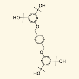 CC(C)(O)c1cc(OCc2ccc(COc3cc(C(C)(C)O)cc(C(C)(C)O)c3)cc2)cc(C(C)(C)O)c1